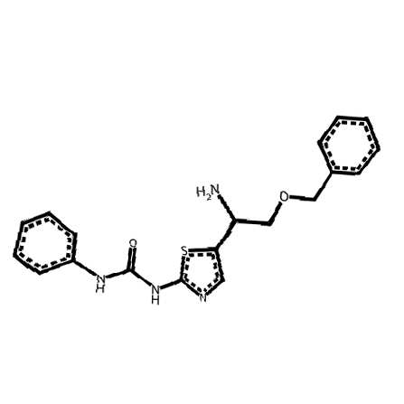 NC(COCc1ccccc1)c1cnc(NC(=O)Nc2ccccc2)s1